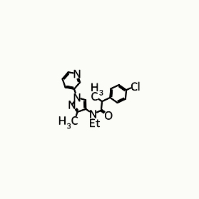 CCN(C(=O)C(C)c1ccc(Cl)cc1)c1cn(-c2cccnc2)nc1C